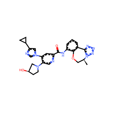 C[C@H]1COc2c(NC(=O)c3cc(-n4cnc(C5CC5)c4)c(N4CC[C@@H](O)C4)cn3)cccc2-c2nnnn21